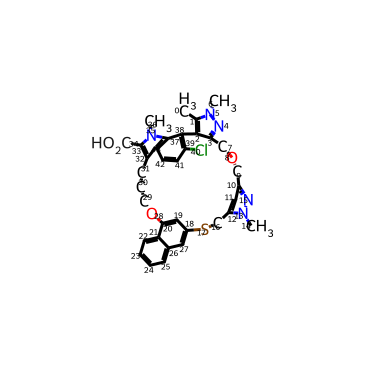 Cc1c2c(nn1C)COCc1cc(n(C)n1)CSc1cc(c3ccccc3c1)OCCCc1c(C(=O)O)n(C)c3c-2c(Cl)ccc13